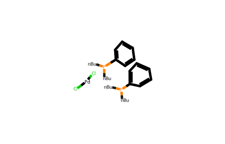 CCCCP(CCCC)c1ccccc1.CCCCP(CCCC)c1ccccc1.[Cl][Pd][Cl]